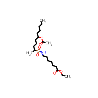 CCCCCC(CCCC(C)S(=O)(=O)NCCCCCCC(=O)OCC)OC(C)=O